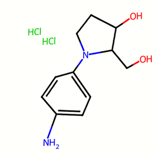 Cl.Cl.Nc1ccc(N2CCC(O)C2CO)cc1